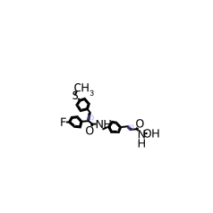 CSc1ccc(/C=C(/C(=O)NCc2ccc(/C=C/C(=O)NO)cc2)c2ccc(F)cc2)cc1